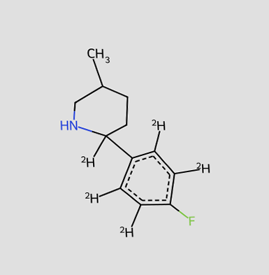 [2H]c1c([2H])c(C2([2H])CCC(C)CN2)c([2H])c([2H])c1F